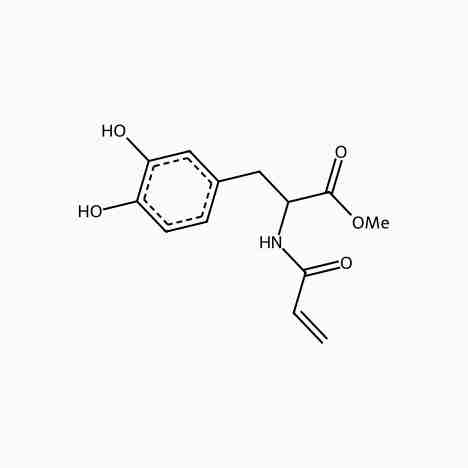 C=CC(=O)NC(Cc1ccc(O)c(O)c1)C(=O)OC